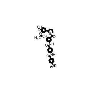 COc1ccc(C2=NN(C(=O)c3cccc(NC(=O)c4ccc(NC(=O)c5ccc([N+](=O)[O-])cc5)cc4)c3)CCC2)cc1OC(C)C